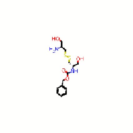 N[C@@H](CO)CSSC[C@H](CO)NC(=O)OCc1ccccc1